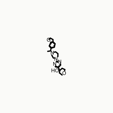 CC(c1ccc2c(c1)OCC2)N1CCCN(c2ncc(C3(O)CCOCC3)cn2)CC1